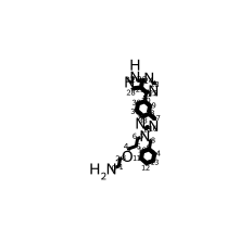 NCCOCCCN(Cc1ccccc1)c1ncc2cc(-c3ncnc4[nH]ncc34)ccc2n1